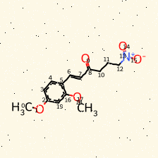 COc1ccc(C=CC(=O)CCC[N+](=O)[O-])c(OC)c1